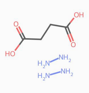 NN.NN.O=C(O)CCC(=O)O